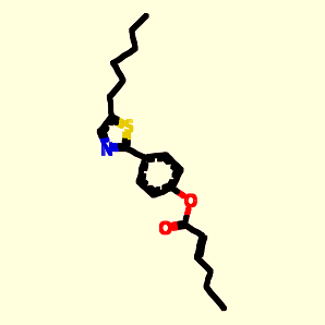 CCCC=CC(=O)Oc1ccc(-c2ncc(CCCCCC)s2)cc1